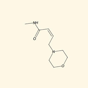 CNC(=O)/C=C\CN1CCOCC1